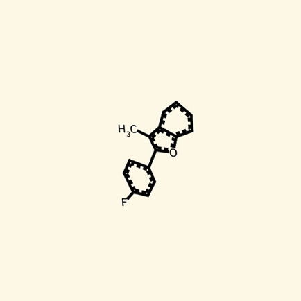 Cc1c(-c2ccc(F)cc2)oc2ccccc12